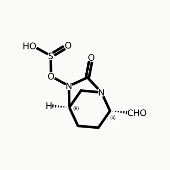 O=C[C@@H]1CC[C@@H]2CN1C(=O)N2OS(=O)O